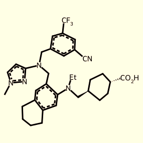 CCN(C[C@H]1CC[C@H](C(=O)O)CC1)c1cc2c(cc1CN(Cc1cc(C#N)cc(C(F)(F)F)c1)c1ccn(C)n1)CCCC2